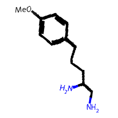 COc1ccc(CCCC(N)CN)cc1